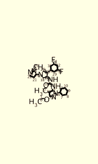 CCOc1nn(-c2ccccc2)c(NC(=O)N[C@@H]2CN(c3ccnn3C)C[C@H]2c2cc(F)cc(F)c2)c1C